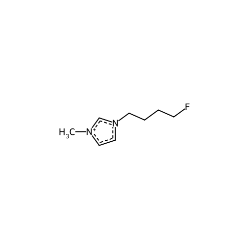 C[n+]1ccn(CCCCF)c1